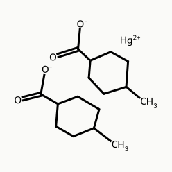 CC1CCC(C(=O)[O-])CC1.CC1CCC(C(=O)[O-])CC1.[Hg+2]